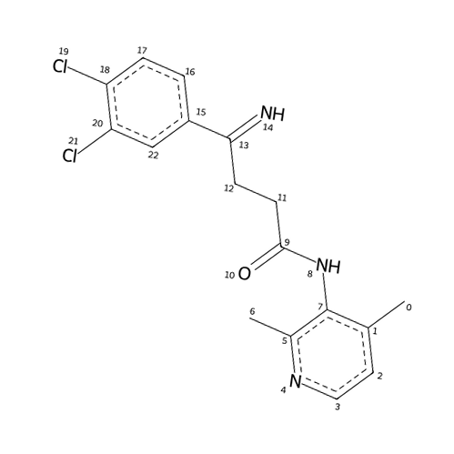 Cc1ccnc(C)c1NC(=O)CCC(=N)c1ccc(Cl)c(Cl)c1